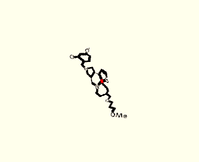 COCCCOCC1CCN(C[C@H]2CN(Cc3ccc(Cl)cc3Cl)C[C@@H]2c2ccsc2)CC1